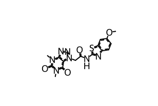 COc1ccc2nc(NC(=O)Cn3nnc4c3c(=O)n(C)c(=O)n4C)sc2c1